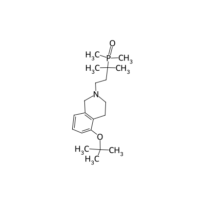 CC(C)(C)Oc1cccc2c1CCN(CCC(C)(C)P(C)(C)=O)C2